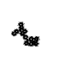 c1ccc(N(c2ccc(-c3ccc4c5c(cccc35)-c3cc5ccccc5cc3N4c3ccc4ccccc4c3)cc2)c2ccc3c(c2)C(c2ccccc2)(c2ccccc2)c2ccccc2-3)cc1